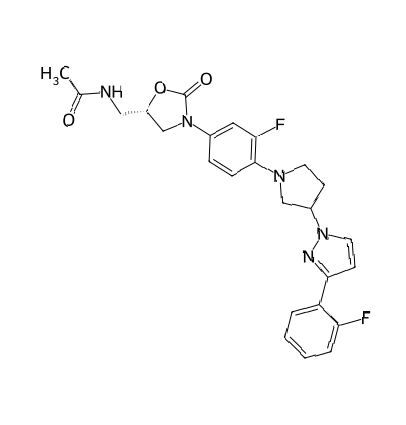 CC(=O)NC[C@H]1CN(c2ccc(N3CCC(n4ccc(-c5ccccc5F)n4)C3)c(F)c2)C(=O)O1